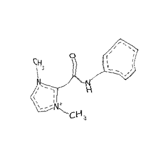 Cn1cc[n+](C)c1C(=O)Nc1ccccc1